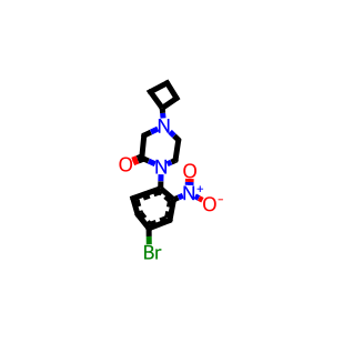 O=C1CN(C2CCC2)CCN1c1ccc(Br)cc1[N+](=O)[O-]